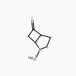 O=C1CC2C1CCN2C(=O)O